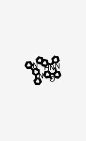 C1=c2c(n(-c3ccccc3)c3ccccc23)=CC2C1c1ccccc1N2c1ccc2c(c1)oc1cccc(C3N=c4ccccc4=C(c4ccccc4)N3)c12